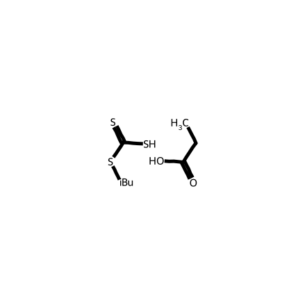 CCC(=O)O.CCC(C)SC(=S)S